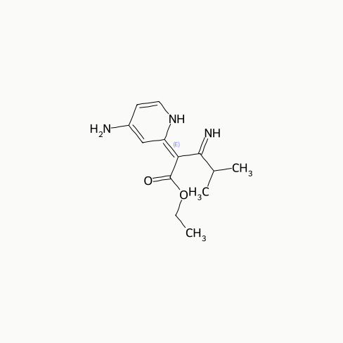 CCOC(=O)/C(C(=N)C(C)C)=C1\C=C(N)C=CN1